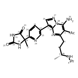 CC(=O)c1c(CC[C@@H](C)NC(C)C)nc2c(-c3ccc(C4(C)NC(=O)NC4=O)nc3)cnn2c1N